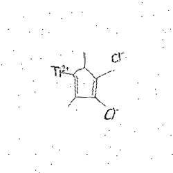 CC1=C(C)C(C)[C]([Ti+2])=C1C.[Cl-].[Cl-]